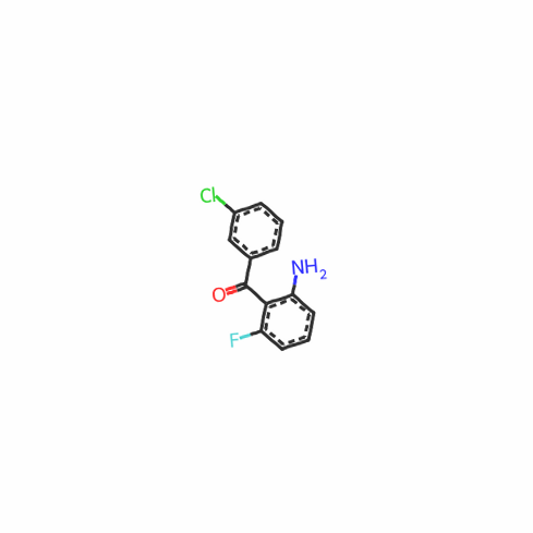 Nc1cccc(F)c1C(=O)c1cccc(Cl)c1